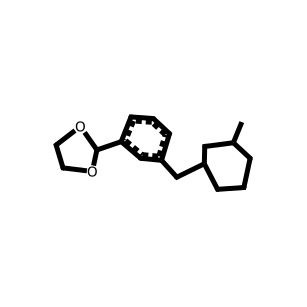 CC1CCCC(Cc2cccc(C3OCCO3)c2)C1